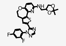 CC1(C)OCC(CNc2ccc3c(n2)-c2sc(-c4ncnn4-c4ccc(F)cc4F)cc2CCO3)O1